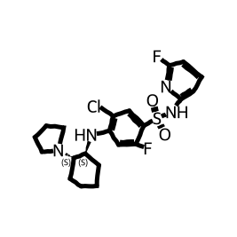 O=S(=O)(Nc1cccc(F)n1)c1cc(Cl)c(N[C@H]2CCCC[C@@H]2N2CCCC2)cc1F